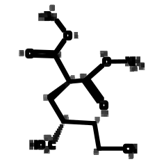 CCCCOC(=O)[C@H](C[C@H](CCC#N)C(=O)O)C(=O)ON